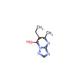 CCc1c(C)nc2ncnn2c1O